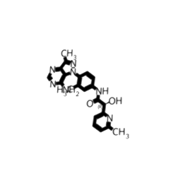 Cc1cccc([C@@H](O)C(=O)Nc2ccc(-n3nc(C)c4ncnc(N)c43)c(C)c2)n1